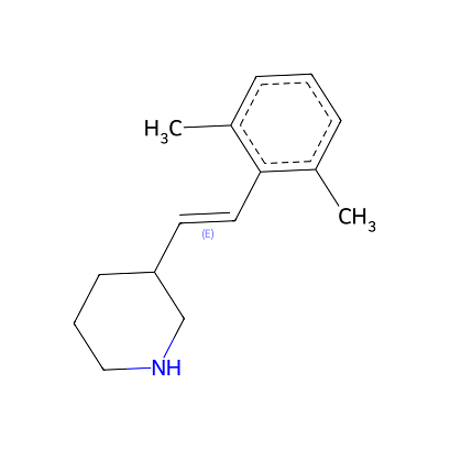 Cc1cccc(C)c1/C=C/C1CCCNC1